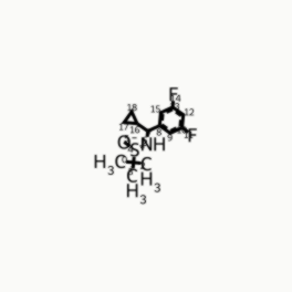 CC(C)(C)[S+]([O-])NC(c1cc(F)cc(F)c1)C1CC1